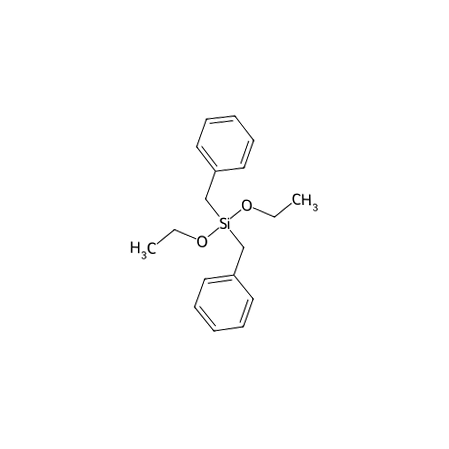 CCO[Si](Cc1ccccc1)(Cc1ccccc1)OCC